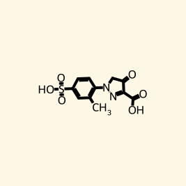 Cc1cc(S(=O)(=O)O)ccc1N1CC(=O)C(C(=O)O)=N1